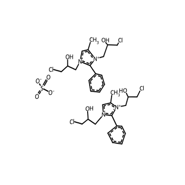 Cc1cn(CC(O)CCl)c(-c2ccccc2)[n+]1CC(O)CCl.Cc1cn(CC(O)CCl)c(-c2ccccc2)[n+]1CC(O)CCl.O=S(=O)([O-])[O-]